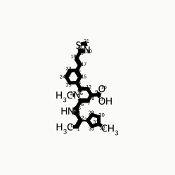 C/C=C(\C1NC1C1=CC(C(=O)O)CC(C2C=C(/C=C/C3=NCS3)C=CC2)N1C)[C@H]1CCC(C)C1